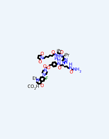 CCn1cc(C(=O)O)c(=O)c2cc(F)c(N3CCN(C(=O)OCc4ccc(NC(=O)[C@H](CCCNC(N)=O)n5cc([C@@H](NC(=O)[C@@H](NC(=O)CCCCCN6C(=O)CCC6=O)C(C)C)C(C)C)nn5)cc4)CC3)cc21